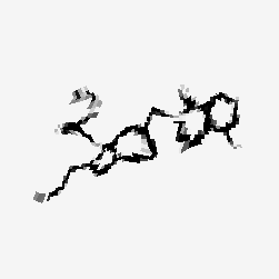 CC(C)(C)OC(=O)n1c(CCO)cc2ccc(Cn3ccc4c(Br)cncc4c3=O)cc21